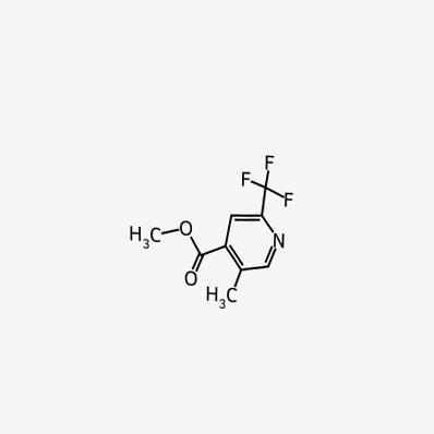 COC(=O)c1cc(C(F)(F)F)ncc1C